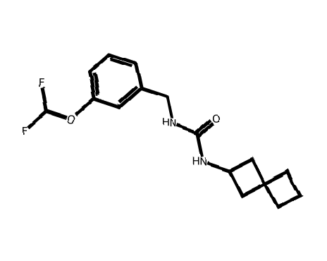 O=C(NCc1cccc(OC(F)F)c1)NC1CC2(CCC2)C1